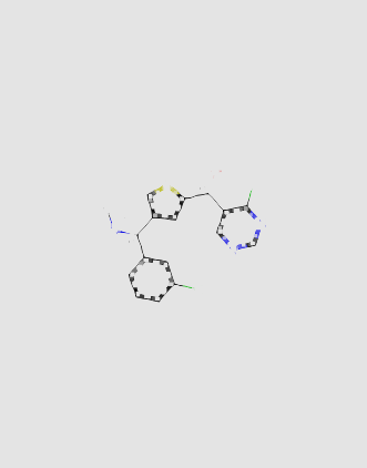 O=C(O)N[C@H](c1cccc(Cl)c1)c1csc([C@H](O)c2cncnc2Cl)c1